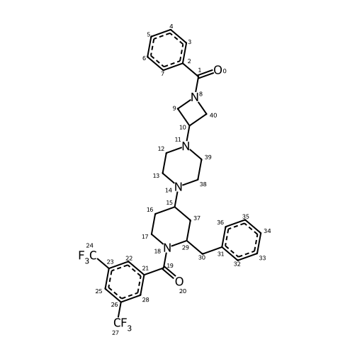 O=C(c1ccccc1)N1CC(N2CCN(C3CCN(C(=O)c4cc(C(F)(F)F)cc(C(F)(F)F)c4)C(Cc4ccccc4)C3)CC2)C1